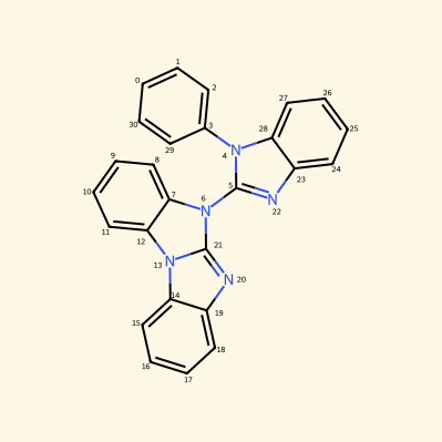 c1ccc(-n2c(-n3c4ccccc4n4c5ccccc5nc34)nc3ccccc32)cc1